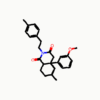 COc1cccc(C23CC(=O)N(CCc4ccc(C)cc4)C(=O)C2CCC(C)C3)c1